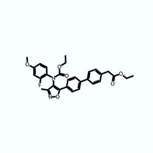 CCOC(=O)Cc1ccc(-c2ccc(-c3onc(C)c3N(C(=O)OCC)c3ccc(OC)cc3F)cc2)cc1